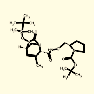 CC1=C[C@@H]2CN(C(=O)N2O[Si](C)(C)C(C)(C)C)[C@@H]1C(=O)NOC[C@@H]1CCCN1C(=O)OC(C)(C)C